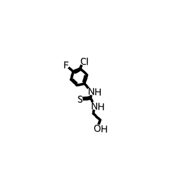 OCCNC(=S)Nc1ccc(F)c(Cl)c1